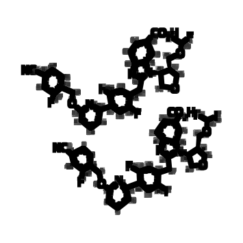 N#Cc1ccc(COc2cccc(-c3cc(F)c(Cc4nc5ccc(C(=O)O)cc5n4[C@@H]4COC[C@@H]4COC(F)F)cc3F)n2)c(F)c1.N#Cc1ccc(COc2cccc(-c3cc(F)c(Cc4nc5ccc(C(=O)O)cc5n4[C@@H]4COC[C@@H]4COC(F)F)cc3F)n2)c(F)c1